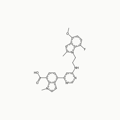 COc1ccc(F)c2c1cc(C)n2CCNc1cc(-c2ccc(C(=O)O)c3c2ccn3C)ncn1